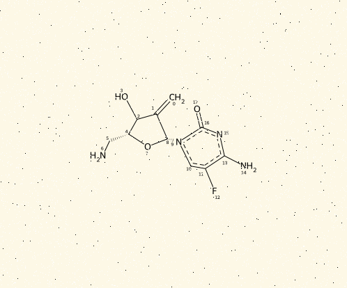 C=C1C(O)[C@@H](CN)O[C@H]1n1cc(F)c(N)nc1=O